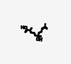 C=C(O)C(C)CCCC(C)(O)CCC=C(C)C